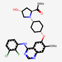 CNC(=O)[C@@H]1C[C@@H](O)CN1[C@H]1CC[C@@H](Oc2cc3c(Nc4cccc(Cl)c4F)ncnc3cc2OC)CC1